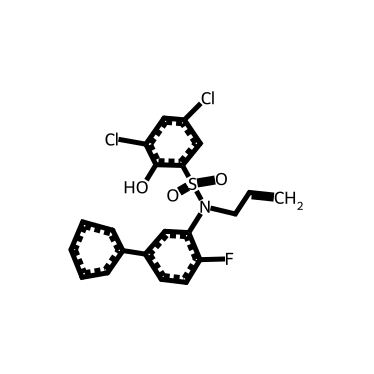 C=CCN(c1cc(-c2ccccc2)ccc1F)S(=O)(=O)c1cc(Cl)cc(Cl)c1O